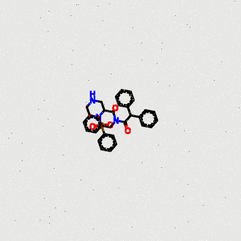 O=C(C(c1ccccc1)c1ccccc1)N(Cc1ccccc1)C(=O)C1CNCCN1S(=O)(=O)c1ccccc1